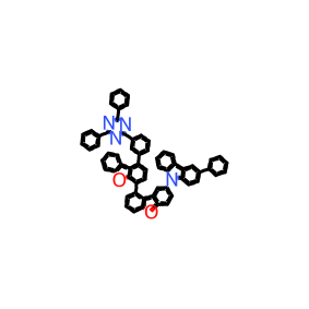 c1ccc(-c2ccc3c(c2)c2ccccc2n3-c2ccc3oc4cccc(-c5ccc(-c6cccc(-c7nc(-c8ccccc8)nc(-c8ccccc8)n7)c6)c6c5oc5ccccc56)c4c3c2)cc1